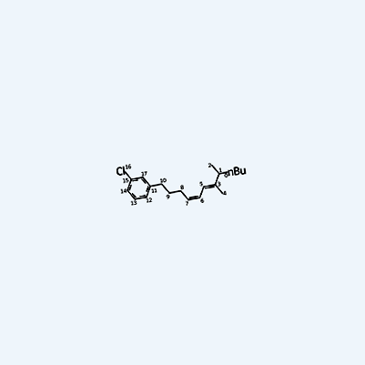 CCCCC(C)/C(C)=C/C=C\CCCc1cccc(Cl)c1